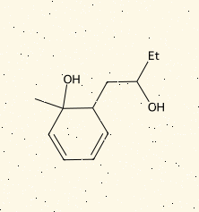 CCC(O)CC1C=CC=CC1(C)O